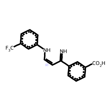 N=C(/C=C\Nc1cccc(C(F)(F)F)c1)c1cccc(C(=O)O)c1